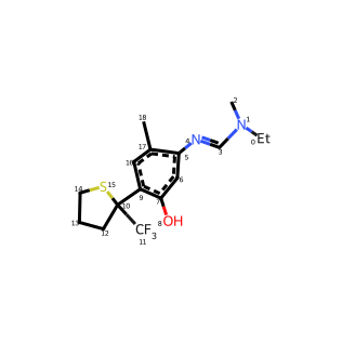 CCN(C)/C=N/c1cc(O)c(C2(C(F)(F)F)CCCS2)cc1C